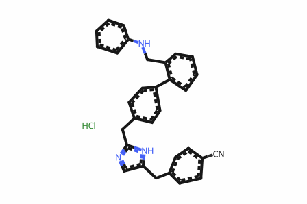 Cl.N#Cc1ccc(Cc2cnc(Cc3ccc(-c4ccccc4CNc4ccccc4)cc3)[nH]2)cc1